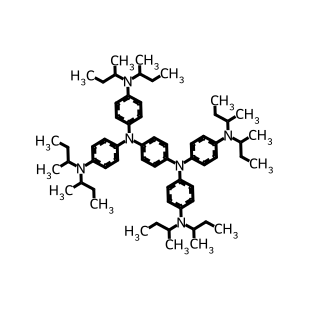 CCC(C)N(c1ccc(N(c2ccc(N(c3ccc(N(C(C)CC)C(C)CC)cc3)c3ccc(N(C(C)CC)C(C)CC)cc3)cc2)c2ccc(N(C(C)CC)C(C)CC)cc2)cc1)C(C)CC